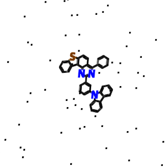 c1ccc(-c2nc(-c3cccc(-n4c5ccccc5c5ccccc54)c3)nc3c2ccc2sc4ccccc4c23)cc1